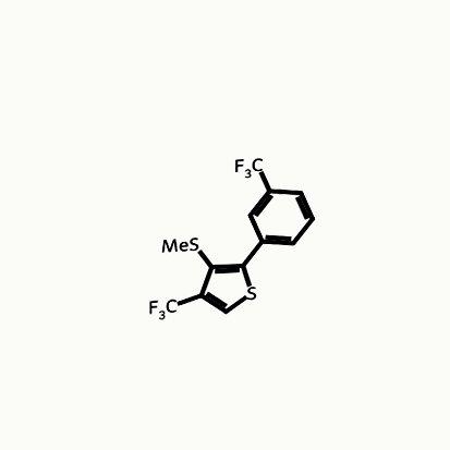 CSc1c(C(F)(F)F)csc1-c1cccc(C(F)(F)F)c1